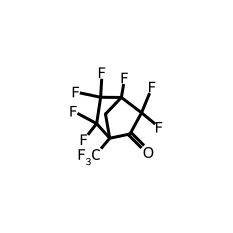 O=C1C(F)(F)C2(F)CC1(C(F)(F)F)C(F)(F)C2(F)F